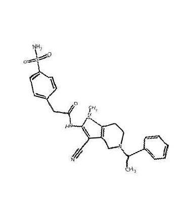 CC(c1ccccc1)N1CCC2=C(C1)C(C#N)=C(NC(=O)Cc1ccc(S(N)(=O)=O)cc1)[SH]2C